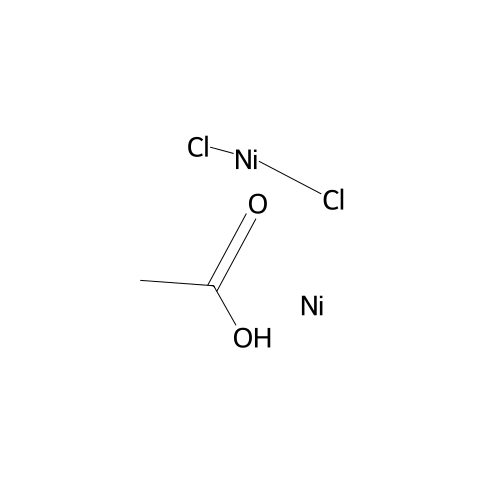 CC(=O)O.[Cl][Ni][Cl].[Ni]